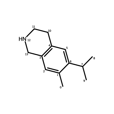 Cc1cc2c(cc1C(C)C)CCNC2